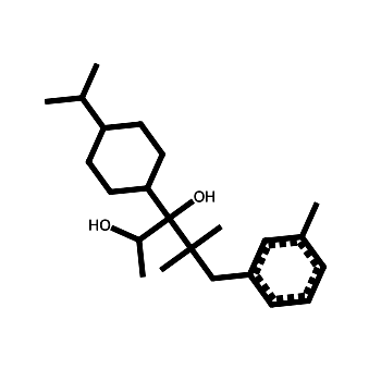 Cc1cccc(CC(C)(C)C(O)(C(C)O)C2CCC(C(C)C)CC2)c1